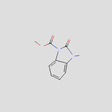 CCn1c(=O)n(C(=O)OC(C)(C)C)c2ccccc21